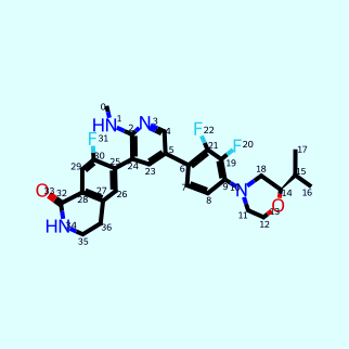 CNc1ncc(-c2ccc(N3CCO[C@H](C(C)C)C3)c(F)c2F)cc1-c1cc2c(cc1F)C(=O)NCC2